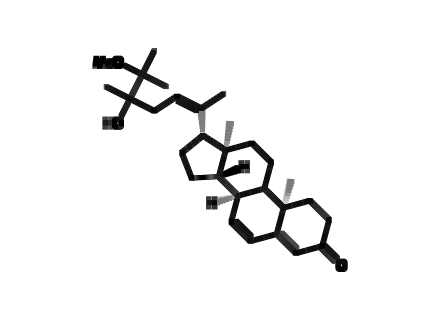 COC(C)(C)C(C)(O)C/C=C(/C)[C@H]1CC[C@H]2[C@@H]3C=CC4=CC(=O)CC[C@]4(C)C3CC[C@]12C